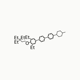 CCc1cc(-c2ccc(-c3ccc(C4CCC(C)CC4)cc3)cc2)cc(CC)c1OCCC(CC)(CC)CC